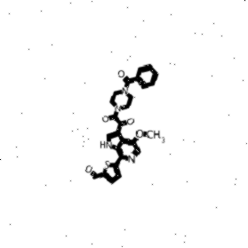 COc1cnc(-c2ccc(C=O)s2)c2[nH]cc(C(=O)C(=O)N3CCN(C(=O)c4ccccc4)CC3)c12